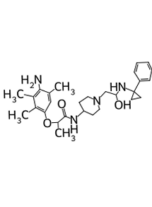 Cc1cc(OC(C)C(=O)NC2CCN(CC(O)NC3(c4ccccc4)CC3)CC2)c(C)c(C)c1N